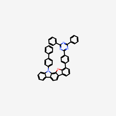 c1ccc(-c2ccc(-n3c4ccccc4c4ccc5c6cccc(-c7ccc(-c8nc(-c9ccccc9)nc(-c9ccccc9)n8)cc7)c6oc5c43)cc2)cc1